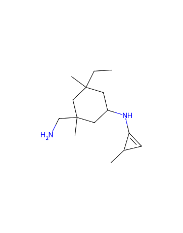 CCC1(C)CC(NC2=CC2C)CC(C)(CN)C1